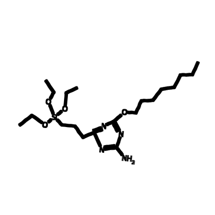 CCCCCCCCOc1nc(N)nc(CCC[Si](OCC)(OCC)OCC)n1